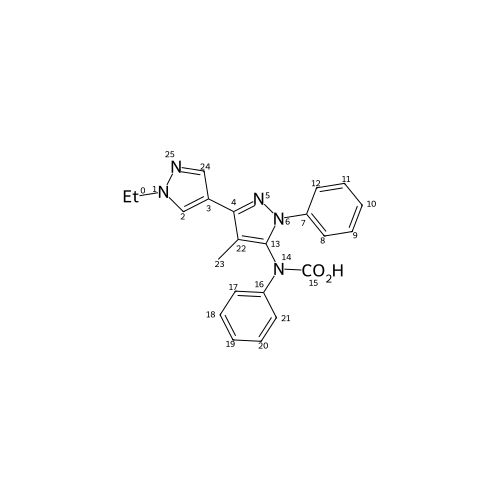 CCn1cc(-c2nn(-c3ccccc3)c(N(C(=O)O)c3ccccc3)c2C)cn1